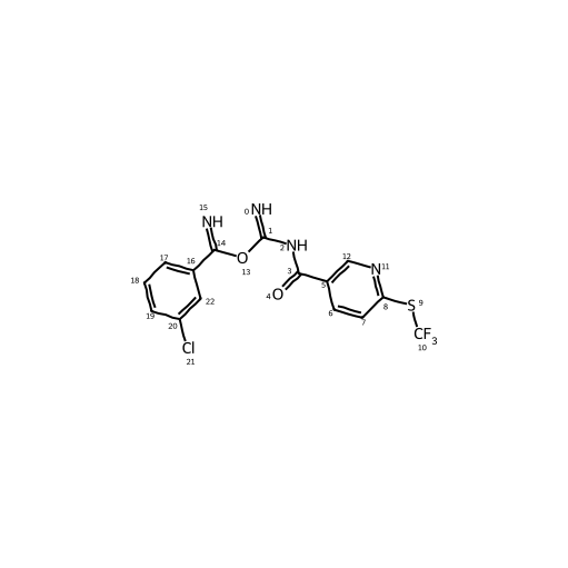 N=C(NC(=O)c1ccc(SC(F)(F)F)nc1)OC(=N)c1cccc(Cl)c1